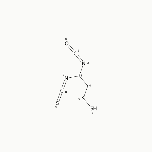 O=C=NC(CSS)N=C=S